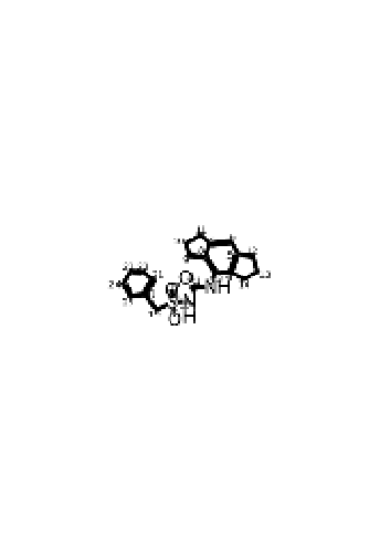 O=C(Nc1c2c(cc3c1CCC3)CCC2)NS(=O)(=O)Cc1ccccc1